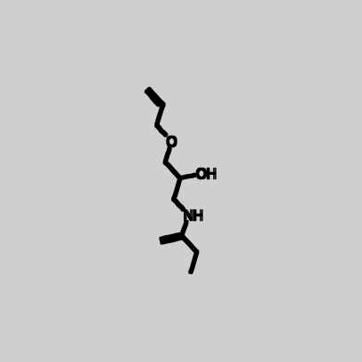 C=CCOCC(O)CNC(=C)CC